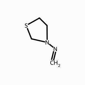 C=NN1CCSC1